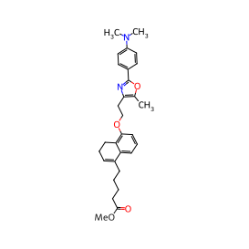 COC(=O)CCCCC1=CCCc2c(OCCc3nc(-c4ccc(N(C)C)cc4)oc3C)cccc21